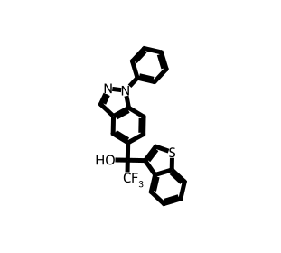 OC(c1ccc2c(cnn2-c2ccccc2)c1)(c1csc2ccccc12)C(F)(F)F